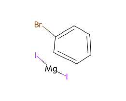 Brc1ccccc1.[I][Mg][I]